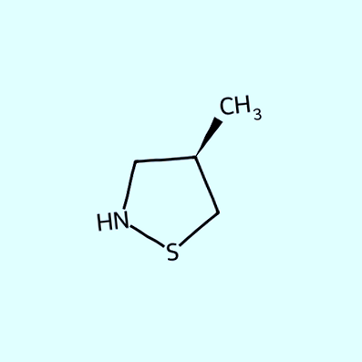 C[C@@H]1CNSC1